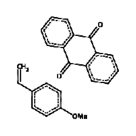 C=Cc1ccc(OC)cc1.O=C1c2ccccc2C(=O)c2ccccc21